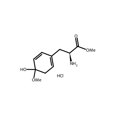 COC(=O)[C@@H](N)CC1=CCC(O)(OC)C=C1.Cl